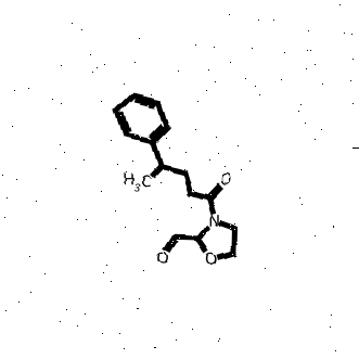 CC(CCC(=O)N1CCOC1C=O)c1ccccc1